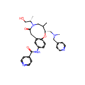 CC1CN([C@@H](C)CO)C(=O)Cc2cc(NC(=O)c3ccncc3)ccc2O[C@H]1CN(C)Cc1ccncc1